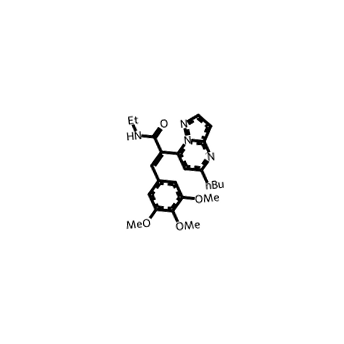 CCCCc1cc(/C(=C\c2cc(OC)c(OC)c(OC)c2)C(=O)NCC)n2nccc2n1